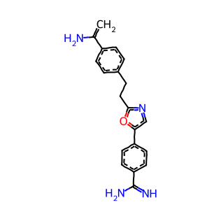 C=C(N)c1ccc(CCc2ncc(-c3ccc(C(=N)N)cc3)o2)cc1